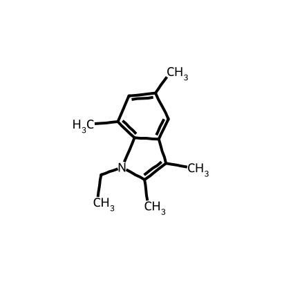 CCn1c(C)c(C)c2cc(C)cc(C)c21